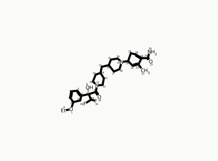 CCOC1C=CC=C([C@@](O)(C(=O)N2CCC(CC3CCN(C4C=C(C)C(C(N)=O)=CC4)CC3)CC2)C(F)F)C1